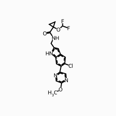 COc1cnc(-c2cc3[nH]c(CNC(=O)C4(OC(F)F)CC4)cc3cc2Cl)cn1